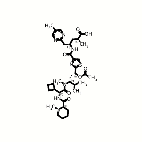 CC(=O)O[C@H](C[C@H](C(C)C)N(C)C(=O)[C@@H](NC(=O)[C@H]1CCCCN1C)C1CCC1)c1nc(C(=O)N[C@@H](Cc2ncc(C)cn2)C[C@H](C)C(=O)O)cs1